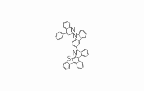 c1ccc(-c2cc(-n3c4ccccc4c4cc(-c5nc6c7sc8ccccc8c7c7ccccc7c6c6ccccc56)ccc43)nc3ccccc23)cc1